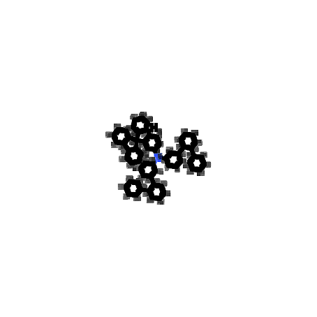 Cc1ccc(N(c2cccc(-c3ccccc3-c3ccccc3)c2)c2cccc(-c3ccccc3-c3ccccc3)c2)cc1C1(c2ccccc2)c2ccccc2-c2ccccc21